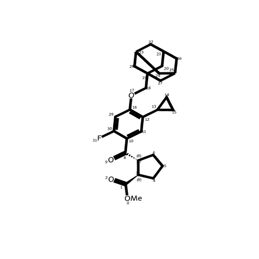 COC(=O)[C@@H]1CCC[C@H]1C(=O)c1cc(C2CC2)c(OCC23CC4CC(CC(C4)C2)C3)cc1F